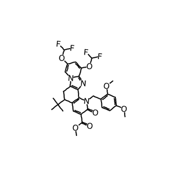 COC(=O)c1cc2c(n(Cc3ccc(OC)cc3OC)c1=O)-c1nc3c(OC(F)F)cc(OC(F)F)cn3c1CC2C(C)(C)C